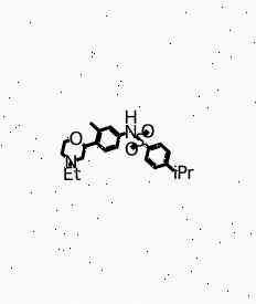 CCN1CCOC(c2ccc(NS(=O)(=O)c3ccc(C(C)C)cc3)cc2C)C1